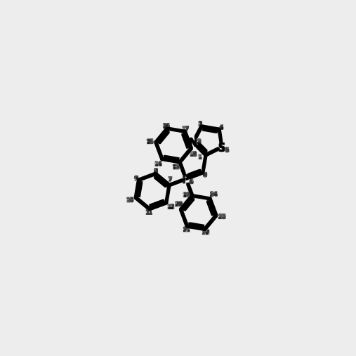 C(c1nccs1)=P(c1ccccc1)(c1ccccc1)c1ccccc1